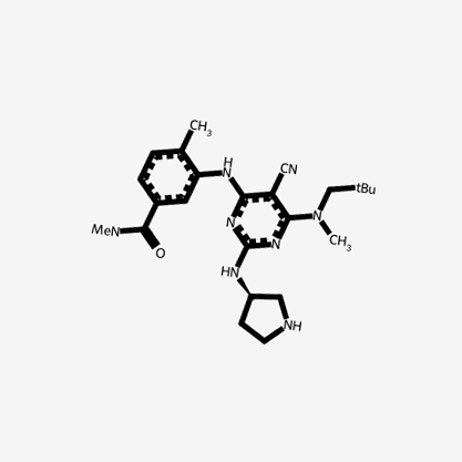 CNC(=O)c1ccc(C)c(Nc2nc(N[C@@H]3CCNC3)nc(N(C)CC(C)(C)C)c2C#N)c1